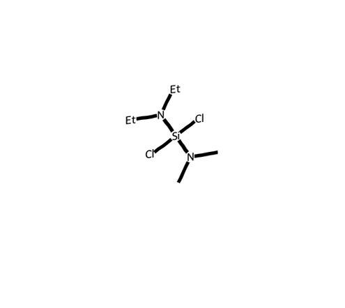 CCN(CC)[Si](Cl)(Cl)N(C)C